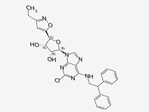 CCc1cc([C@H]2O[C@@H](n3cnc4c(NCC(c5ccccc5)c5ccccc5)nc(Cl)nc43)[C@H](O)[C@@H]2O)on1